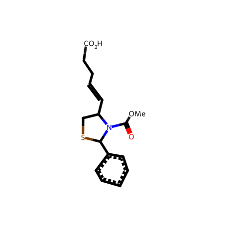 COC(=O)N1C(C=CCCC(=O)O)CSC1c1ccccc1